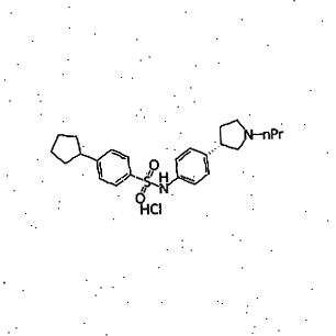 CCCN1CC[C@@H](c2ccc(NS(=O)(=O)c3ccc(C4CCCC4)cc3)cc2)C1.Cl